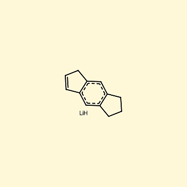 C1=Cc2cc3c(cc2C1)CCC3.[LiH]